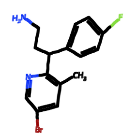 Cc1cc(Br)cnc1C(CCN)c1ccc(F)cc1